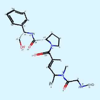 C/C(=C\C(C(C)C)N(C)C(=O)CNC=O)C(=O)N1CCC[C@H]1C(=O)N[C@H](CO)c1ccccc1